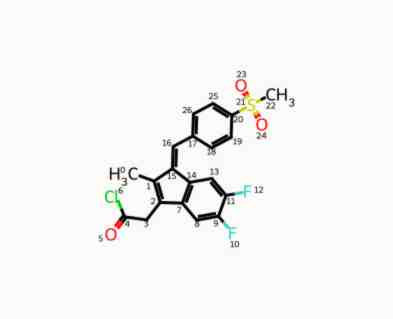 CC1=C(CC(=O)Cl)c2cc(F)c(F)cc2/C1=C\c1ccc(S(C)(=O)=O)cc1